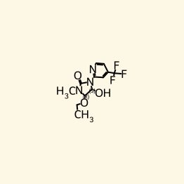 CCO[C@@H]1[C@H](O)N(c2cc(C(F)(F)F)ccn2)C(=O)N1C